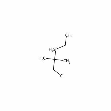 CC[SiH2]C(C)(C)CCl